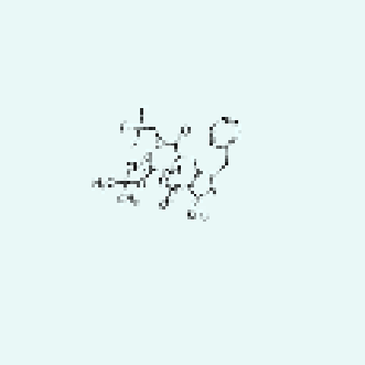 Cn1nc(Cc2ccccc2)c(C[C@H](NC(=O)OC(C)(C)C)C(=O)OCC(F)(F)F)c1[N+](=O)[O-]